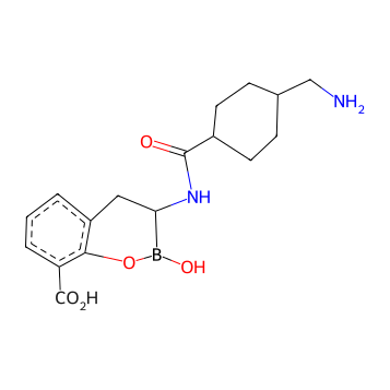 NCC1CCC(C(=O)NC2Cc3cccc(C(=O)O)c3OB2O)CC1